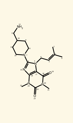 CC(C)=CCn1c(N2CCC(CN)CC2)nc2c1c(=O)n(C)c(=O)n2C